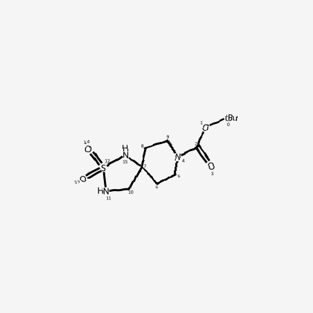 CC(C)(C)OC(=O)N1CCC2(CC1)CNS(=O)(=O)N2